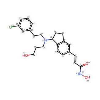 O=C(C=Cc1ccc2c(c1)CCC2N(CCCO)CCc1cccc(Cl)c1)NO